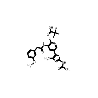 COc1cccc(CC(=O)Nc2cc(-c3sc(NC(C)=O)nc3C)cnc2Cl)c1.O=C(O)C(F)(F)F